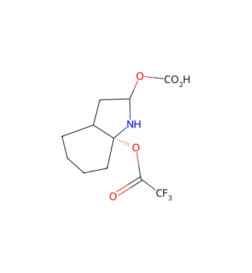 O=C(O)OC1CC2CCCC[C@]2(OC(=O)C(F)(F)F)N1